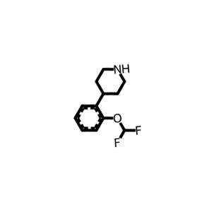 FC(F)Oc1ccccc1C1CCNCC1